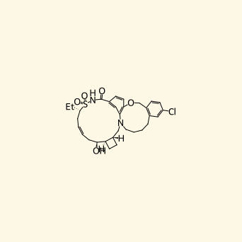 CC[C@H]1C/C=C\C[C@H](O)[C@@H]2CC[C@H]2CN2CCCCc3cc(Cl)ccc3COc3ccc(cc32)C(=O)NS1(=O)=O